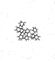 c1ccc(-c2nc(-c3cccc4c3-c3ccccc3C43c4ccccc4-c4c3cc3c5c(cccc45)-c4ccccc4-3)nc3ccccc23)cc1